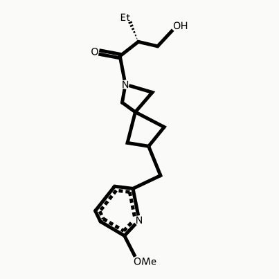 CC[C@H](CO)C(=O)N1CC2(CC(Cc3cccc(OC)n3)C2)C1